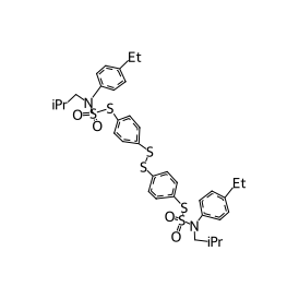 CCc1ccc(N(CC(C)C)S(=O)(=O)Sc2ccc(SSc3ccc(SS(=O)(=O)N(CC(C)C)c4ccc(CC)cc4)cc3)cc2)cc1